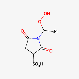 CC(C)C(OO)N1C(=O)CC(S(=O)(=O)O)C1=O